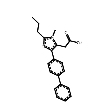 CCCc1nc(-c2ccc(-c3ccccc3)cc2)c(CC(=O)O)n1C